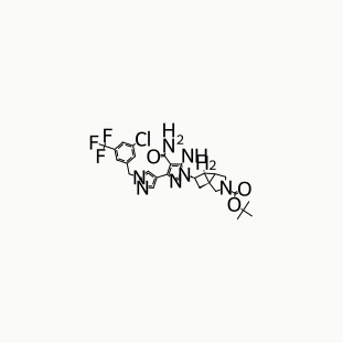 CC(C)(C)OC(=O)N1CC2[C@@H]3[C@H](n4nc(-c5cnn(Cc6cc(Cl)cc(C(F)(F)F)c6)c5)c(C(N)=O)c4N)C[C@]23C1